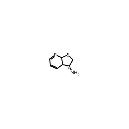 N[C@@H]1CSC2P=CC=CC21